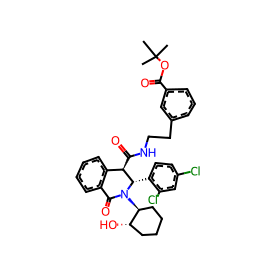 CC(C)(C)OC(=O)c1cccc(CCNC(=O)[C@@H]2c3ccccc3C(=O)N([C@H]3CCCC[C@@H]3O)[C@H]2c2ccc(Cl)cc2Cl)c1